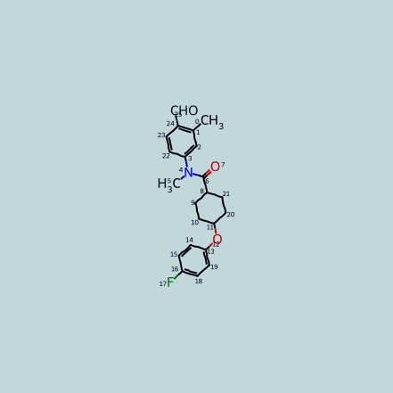 Cc1cc(N(C)C(=O)C2CCC(Oc3ccc(F)cc3)CC2)ccc1C=O